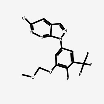 COCOc1cc(-n2ncc3cc(Cl)nnc32)cc(C(F)(F)F)c1F